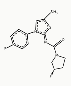 Cc1cn(-c2ccc(F)cc2)c(=NC(=O)N2CC[C@@H](F)C2)s1